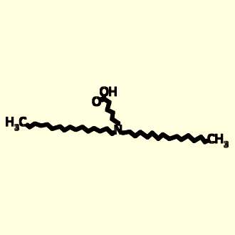 CCCCCCCCCCCCCCCCN(CCCCCCCCCCCCCCCC)CCCCCC(=O)O